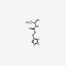 CC(C)C(NC(=O)CCn1cnnn1)C(=O)O